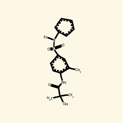 CCN(c1ccccc1)S(=O)(=O)c1ccc(NC(=O)C(C)(O)C(F)(F)F)c(C)c1